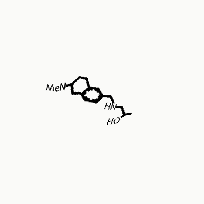 CNC1CCc2cc(CNCC(C)O)ccc2C1